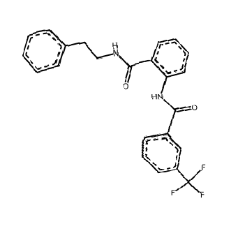 O=C(Nc1ccccc1C(=O)NCCc1ccccc1)c1cccc(C(F)(F)F)c1